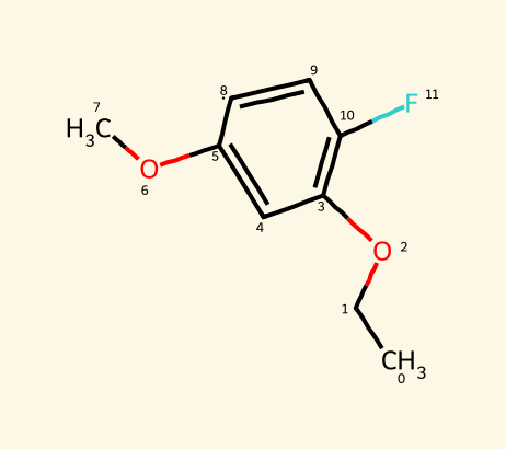 CCOc1cc(OC)[c]cc1F